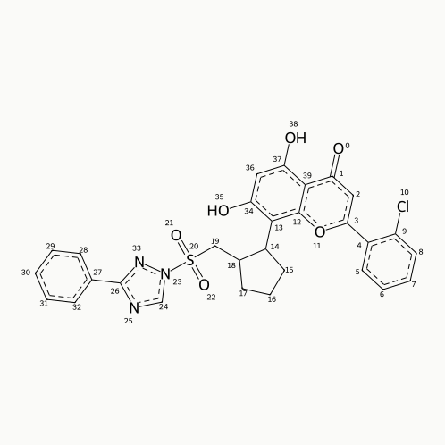 O=c1cc(-c2ccccc2Cl)oc2c(C3CCCC3CS(=O)(=O)n3cnc(-c4ccccc4)n3)c(O)cc(O)c12